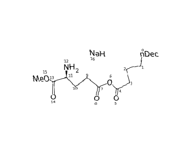 CCCCCCCCCCCCCC(=O)OC(=O)CC[C@H](N)C(=O)OC.[NaH]